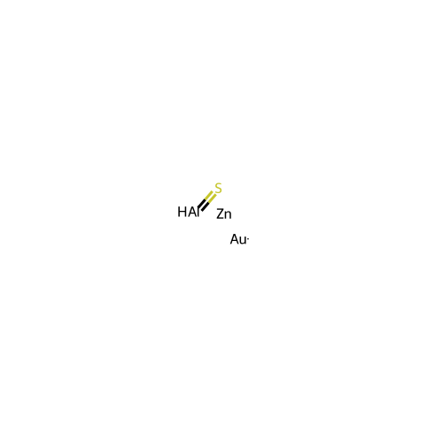 [AlH]=[S].[Au].[Zn]